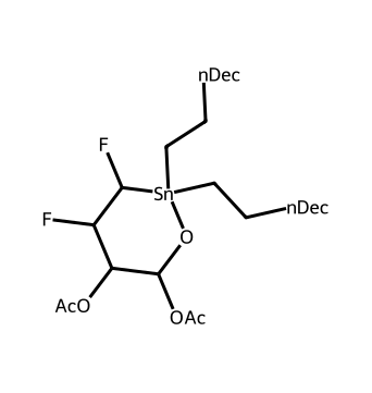 CCCCCCCCCCC[CH2][Sn]1([CH2]CCCCCCCCCCC)[O]C(OC(C)=O)C(OC(C)=O)C(F)[CH]1F